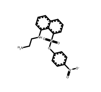 NCCNc1cccc2cccc(S(=O)(=O)Oc3ccc([N+](=O)[O-])cc3)c12